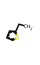 [CH2]Cc1[c]ccs1